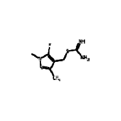 Cn1nc(C(F)(F)F)c(CSC(=N)N)c1F